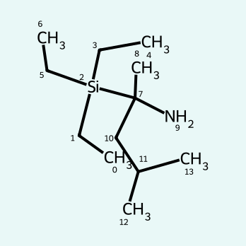 CC[Si](CC)(CC)C(C)(N)CC(C)C